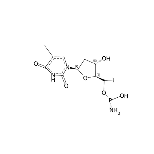 Cc1cn([C@H]2C[C@H](O)[C@@H](C(I)OP(N)O)O2)c(=O)[nH]c1=O